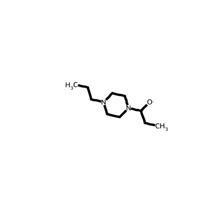 CCCN1CCN(C([O])CC)CC1